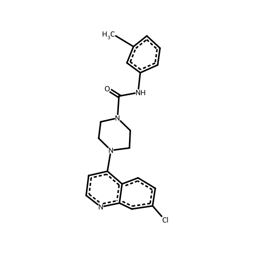 Cc1cccc(NC(=O)N2CCN(c3ccnc4cc(Cl)ccc34)CC2)c1